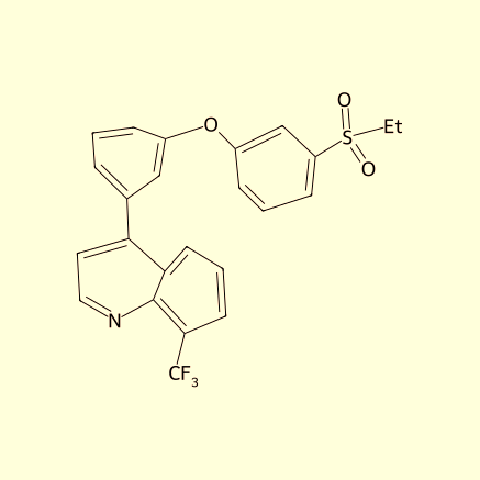 CCS(=O)(=O)c1cccc(Oc2cccc(-c3ccnc4c(C(F)(F)F)cccc34)c2)c1